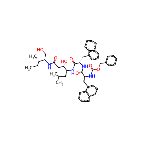 CC[C@H](C)[C@@H](CO)NC(=O)C[C@H](O)[C@H](CC(C)C)NC(=O)[C@H](Cc1cccc2ccccc12)NC(=O)[C@H](Cc1cccc2ccccc12)NC(=O)OCc1ccccc1